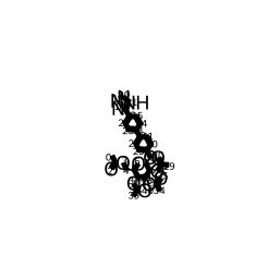 CC(=O)OC[C@H]1O[C@@H](Oc2ccc(-c3ccc(-c4nnn[nH]4)cc3)cc2)[C@@H](OC(C)=O)[C@@H](OC(C)=O)[C@@H]1OC(C)=O